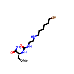 COC[C@H](NC(=O)NCCNCCCCCCS)C(N)=O